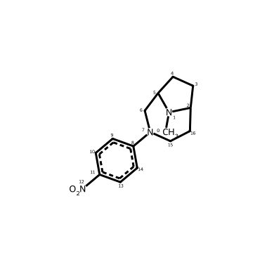 CN1C2CCC1CN(c1ccc([N+](=O)[O-])cc1)CC2